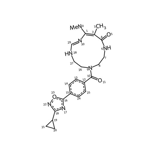 CNC1=C(\C)C(=O)NCCN(C(=O)c2ccc(-c3nc(C4CC4)no3)cc2)CCN\C=N\1